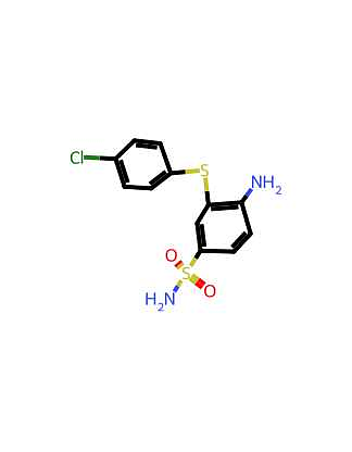 Nc1ccc(S(N)(=O)=O)cc1Sc1ccc(Cl)cc1